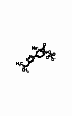 CN(C)Cc1cn(C2=CC3CN(C2)C(=O)N3OS(=O)(=O)[O-])nn1.[Na+]